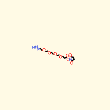 N=NCCOCCOCCOCCOCCC(=O)ON1C(=O)CCC1=O